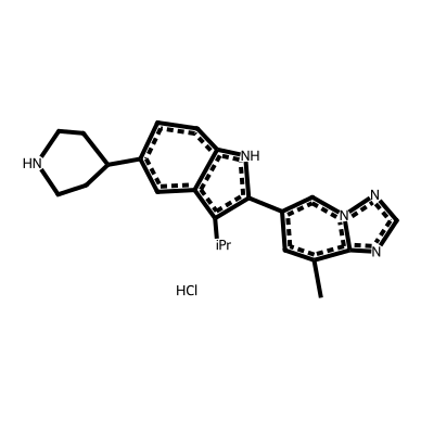 Cc1cc(-c2[nH]c3ccc(C4CCNCC4)cc3c2C(C)C)cn2ncnc12.Cl